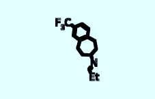 CCC=NC1CCc2ccc(C(F)(F)F)cc2CC1